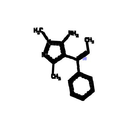 C/C=C(/c1ccccc1)c1c(C)nn(C)c1N